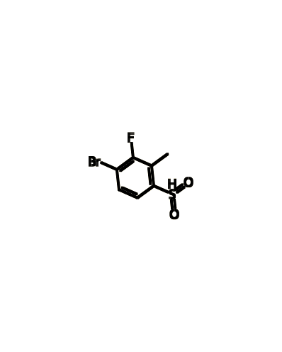 Cc1c([SH](=O)=O)ccc(Br)c1F